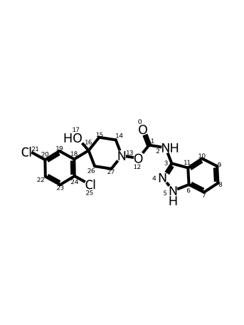 O=C(Nc1n[nH]c2ccccc12)ON1CCC(O)(c2cc(Cl)ccc2Cl)CC1